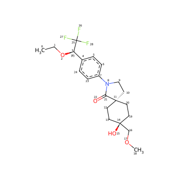 CCO[C@H](c1ccc(N2CC[C@]3(CC[C@@](O)(COC)CC3)C2=O)cc1)C(F)(F)F